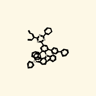 C=C/C=C(\C=C)c1nc(C2=CCCC=C2)nc(-c2cc(C3=CC[C@@H](c4ccccc4)C=C3)c(-n3c4ccccc4c4ccc5oc6ccccc6c5c43)c(-c3ccc(-c4ccccc4)cc3)c2)n1